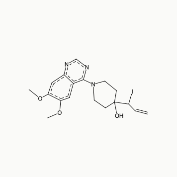 C=CC(I)C1(O)CCN(c2ncnc3cc(OC)c(OC)cc23)CC1